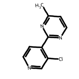 Cc1ccnc(-c2ccncc2Cl)n1